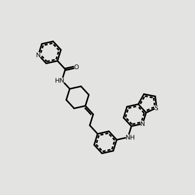 O=C(NC1CCC(=CCc2cccc(Nc3ccc4ccsc4n3)c2)CC1)c1cccnc1